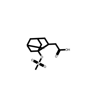 CS(=O)(=O)OC12CC3CC(CC(CC(=O)O)(C3)O1)C2